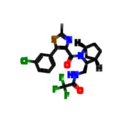 Cc1nc(C(=O)N2[C@@H]3CC[C@@H](C3)[C@H]2CNC(=O)C(F)(F)F)c(-c2cccc(Cl)c2)s1